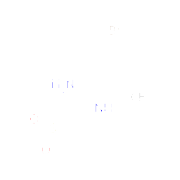 Nc1cc(Br)cc(C(F)(F)F)c1NC1CS(=O)(=O)C1